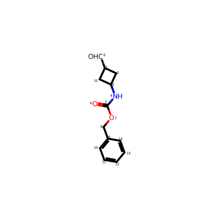 O=CC1CC(NC(=O)OCc2ccccc2)C1